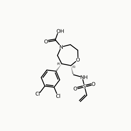 C=CS(=O)(=O)NC[C@H]1OCCN(C(=O)O)C[C@H]1c1ccc(Cl)c(Cl)c1